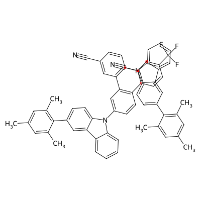 Cc1cc(C)c(-c2ccc3c(c2)c2ccccc2n3-c2ccc(-c3ccc(C(F)(F)F)cc3C#N)c(-c3cc(C#N)ccc3-n3c4ccccc4c4cc(-c5c(C)cc(C)cc5C)ccc43)c2)c(C)c1